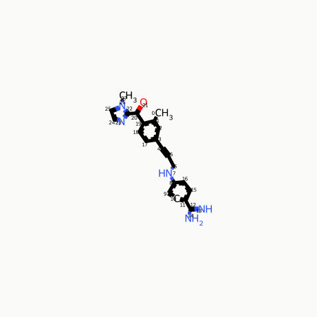 Cc1cc(C#CCNc2ccc(C(=N)N)cc2)ccc1C(=O)c1nccn1C